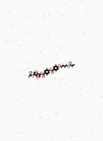 C=CC(=O)OCCCCOc1ccc(C(=O)Oc2ccc(C(=O)O[C@H]3COC4C3OC[C@H]4OC(C)=O)cc2)cc1